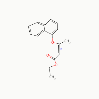 CCOC(=O)/C=C(/C)Oc1cccc2ccccc12